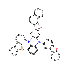 c1ccc(N(c2ccc3oc4ccccc4c3c2)c2cc3oc4c5ccccc5ccc4c3cc2N(c2ccccc2)c2cccc3c2sc2ccccc23)cc1